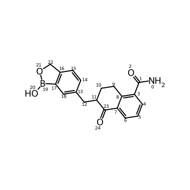 NC(=O)c1cccc2c1CCC(Cc1ccc3c(c1)B(O)OC3)C2=O